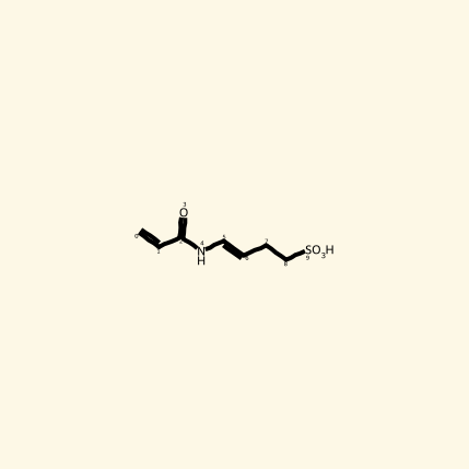 C=CC(=O)NC=CCCS(=O)(=O)O